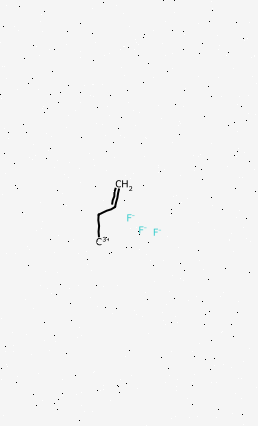 [C+3]CC=C.[F-].[F-].[F-]